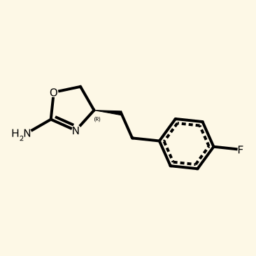 NC1=N[C@H](CCc2ccc(F)cc2)CO1